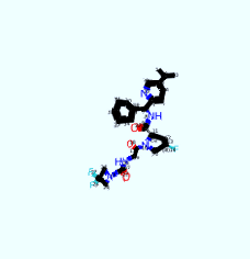 CC(C)c1ccc([C@@H](NC(=O)[C@@H]2C[C@@H](F)CN2C(=O)CNC(=O)N2CC(F)(F)C2)c2ccccc2)nc1